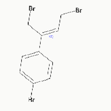 BrC/C=C(\CBr)c1ccc(Br)cc1